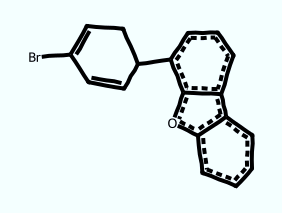 BrC1=CCC(c2cccc3c2oc2ccccc23)C=C1